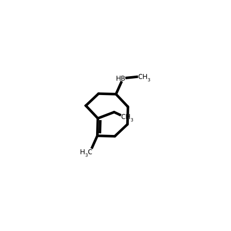 CBC1CCC/C(C)=C(\CC)CC1